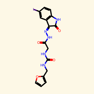 O=C(CNC(=O)NCc1ccco1)N/N=C1\C(=O)Nc2ccc(I)cc21